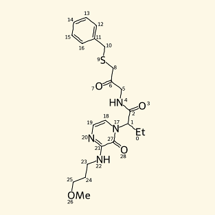 CCC(C(=O)NCC(=O)CSCc1ccccc1)n1ccnc(NCCCOC)c1=O